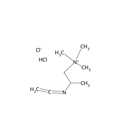 C=C=NC(C)C[N+](C)(C)C.Cl.[Cl-]